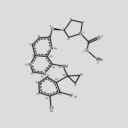 CC(C)(C)OC(=O)N1CC[C@H](Oc2ccc3ncnc(NC4(c5cccc(Cl)c5F)CC4)c3n2)C1